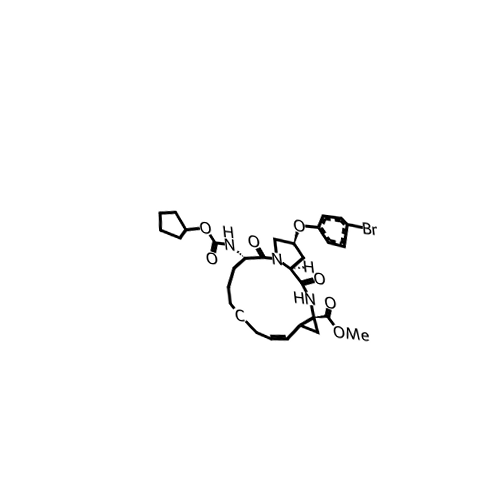 COC(=O)[C@@]12CC1/C=C\CCCCC[C@H](NC(=O)OC1CCCC1)C(=O)N1C[C@@H](Oc3ccc(Br)cc3)C[C@H]1C(=O)N2